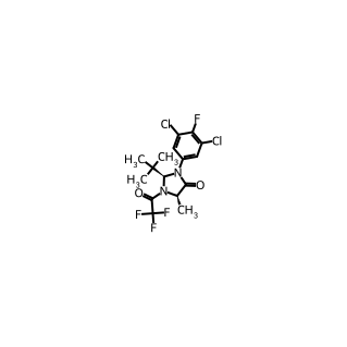 C[C@@H]1C(=O)N(c2cc(Cl)c(F)c(Cl)c2)[C@H](C(C)(C)C)N1C(=O)C(F)(F)F